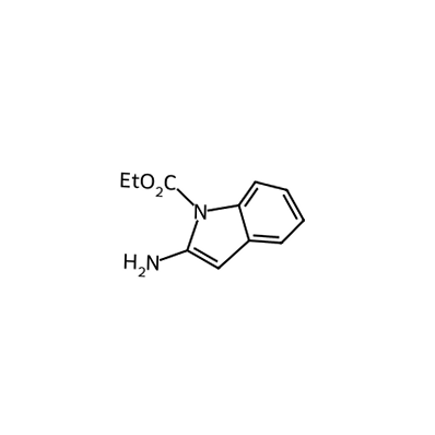 CCOC(=O)n1c(N)cc2ccccc21